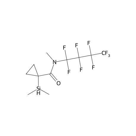 CN(C(=O)C1([SiH](C)C)CC1)C(F)(F)C(F)(F)C(F)(F)C(F)(F)F